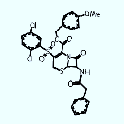 COc1ccc(COC(=O)C2=C(S(=O)(=O)c3cc(Cl)ccc3Cl)CSC3C(NC(=O)Cc4ccccc4)C(=O)N23)cc1